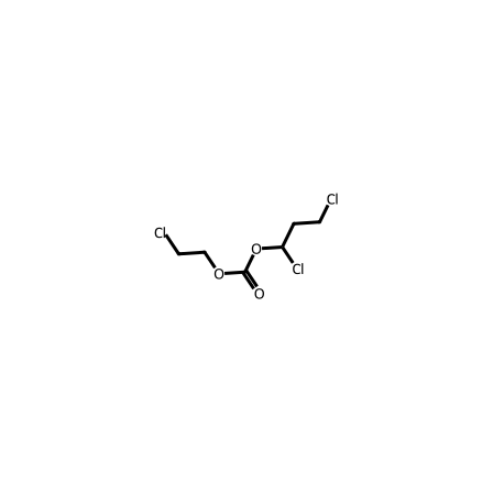 O=C(OCCCl)OC(Cl)CCCl